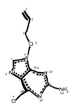 C=CCOn1cnc2c(Cl)nc(N)nc21